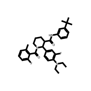 CCN(CC)c1ccc(C2C(C(=O)Nc3cccc(C(C)(C)C)c3)CCCN2C(=O)c2c(C)cccc2F)cc1F